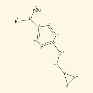 CCCCC(CC)c1ccc(OCC2CC2)cc1